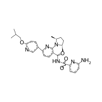 CC(C)COc1ccc(-c2ccc(C(=O)NS(=O)(=O)c3cccc(N)n3)c(N3[C@H](C)CC[C@@H]3C)n2)cn1